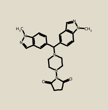 Cn1ncc2cc(C(c3ccc4c(cnn4C)c3)N3CCN(N4C(=O)CCC4=O)CC3)ccc21